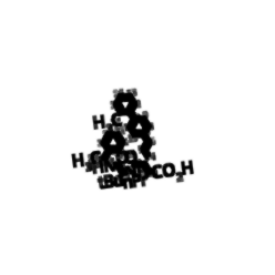 CCC[C@H](C(=O)O)[C@@H](C/C=C/c1ccc(-c2ccccc2C)cc1)C(=O)N[C@H](C(=O)N[C@H](C)c1ccccc1)C(C)(C)C